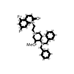 COC1CN(CCn2c(=O)ccc3c(F)cc(F)cc32)CCC1N(Cc1ccccc1)Cc1ccccc1